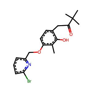 Cc1c(OCc2cccc(Br)n2)ccc(CC(=O)C(C)(C)C)c1O